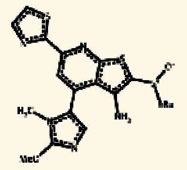 CCCC[S+]([O-])c1sc2nc(-c3nccs3)cc(-c3cnc(OC)n3C)c2c1N